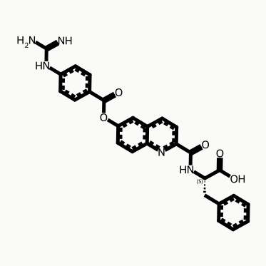 N=C(N)Nc1ccc(C(=O)Oc2ccc3nc(C(=O)N[C@@H](Cc4ccccc4)C(=O)O)ccc3c2)cc1